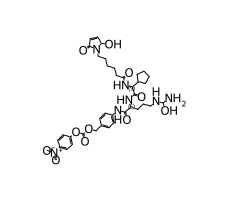 NC(O)NCCC[C@H](NC(=O)[C@@H](NC(=O)CCCCCN1C(=O)C=CC1O)C1CCCC1)C(=O)Nc1ccc(COC(=O)Oc2ccc([N+](=O)[O-])cc2)cc1